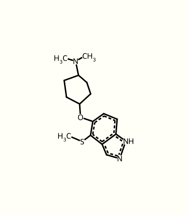 CSc1c(OC2CCC(N(C)C)CC2)ccc2[nH]ncc12